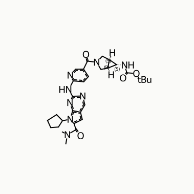 CN(C)C(=O)c1cc2cnc(Nc3ccc(C(=O)N4C[C@@H]5[C@H](C4)[C@H]5NC(=O)OC(C)(C)C)cn3)nc2n1C1CCCC1